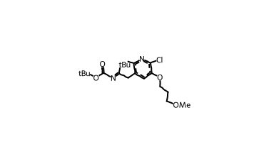 COCCCOc1cc(C/C(=N/C(=O)OC(C)(C)C)C(C)(C)C)c(C)nc1Cl